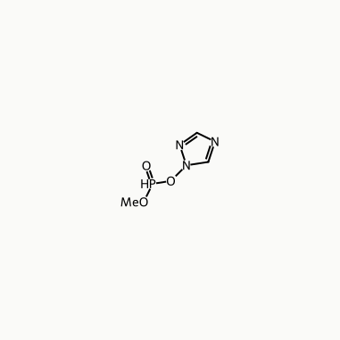 CO[PH](=O)On1cncn1